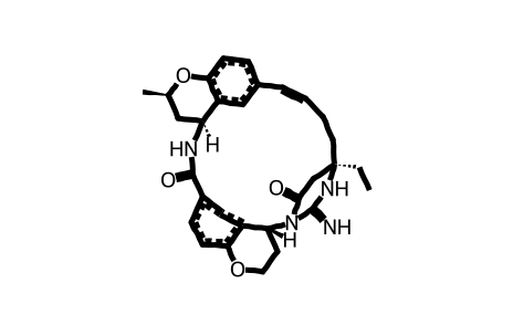 CC[C@]12CC/C=C\c3ccc4c(c3)[C@H](C[C@@H](C)O4)NC(=O)c3ccc4c(c3)[C@@H](CCO4)N(C(=N)N1)C(=O)C2